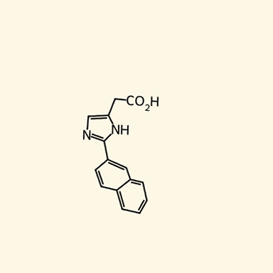 O=C(O)Cc1cnc(-c2ccc3ccccc3c2)[nH]1